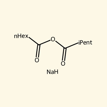 CCCCCCC(=O)OC(=O)C(C)CCC.[NaH]